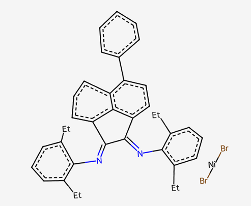 CCc1cccc(CC)c1N=C1C(=Nc2c(CC)cccc2CC)c2ccc(-c3ccccc3)c3cccc1c23.[Br][Ni][Br]